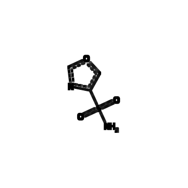 NS(=O)(=O)c1cocn1